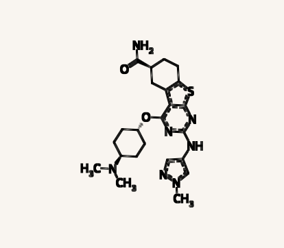 Cn1cc(Nc2nc(O[C@H]3CC[C@H](N(C)C)CC3)c3c4c(sc3n2)CC[C@H](C(N)=O)C4)cn1